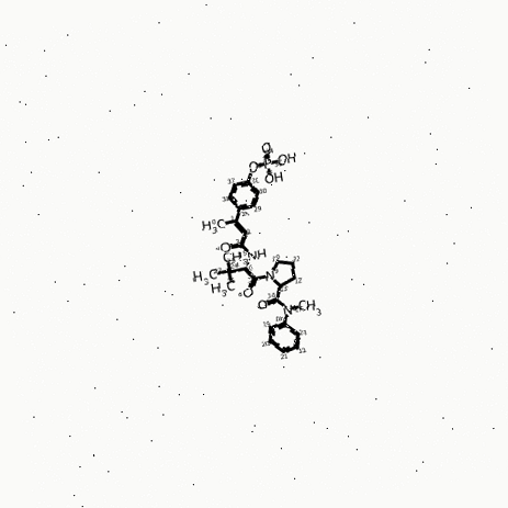 C/C(=C\C(=O)N[C@H](C(=O)N1CCCC1C(=O)N(C)c1ccccc1)C(C)(C)C)c1ccc(OP(=O)(O)O)cc1